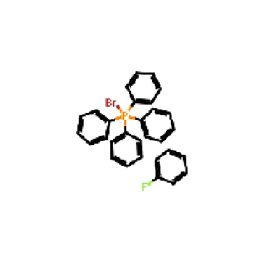 BrP(c1ccccc1)(c1ccccc1)(c1ccccc1)c1ccccc1.Fc1ccccc1